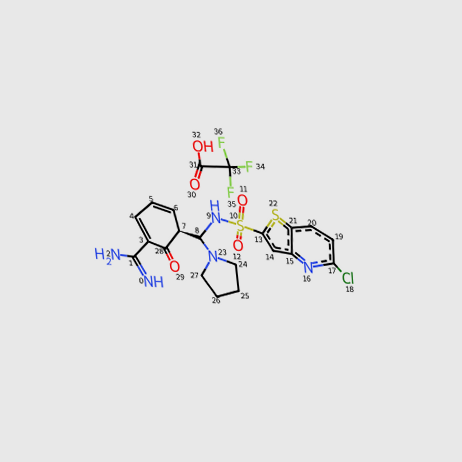 N=C(N)C1=CC=C[C@@H](C(NS(=O)(=O)c2cc3nc(Cl)ccc3s2)N2CCCC2)C1=O.O=C(O)C(F)(F)F